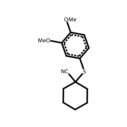 COc1ccc(SC2(C#N)CCCCC2)cc1OC